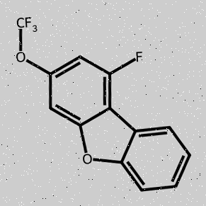 Fc1cc(OC(F)(F)F)cc2oc3ccccc3c12